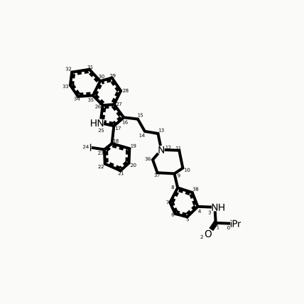 CC(C)C(=O)Nc1cccc(C2CCN(CCCc3c(-c4ccccc4I)[nH]c4c3ccc3ccccc34)CC2)c1